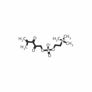 C=C(C)C(=O)C(=O)COP(=O)([O-])OCC[N+](C)(C)C